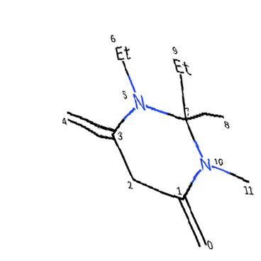 C=C1CC(=C)N(CC)C(C)(CC)N1C